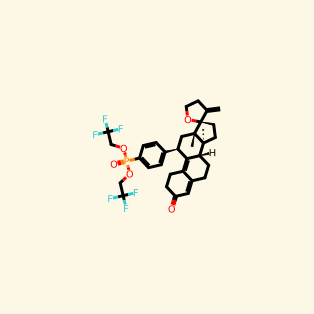 C=C1CCO[C@]12CC[C@@]1(C)[C@@H]3CCC4=CC(=O)CCC4=C3[C@@H](c3ccc(P(=O)(OCC(F)(F)F)OCC(F)(F)F)cc3)C[C@@]12C